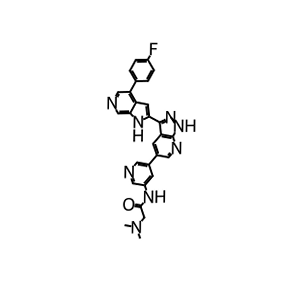 CN(C)CC(=O)Nc1cncc(-c2cnc3[nH]nc(-c4cc5c(-c6ccc(F)cc6)cncc5[nH]4)c3c2)c1